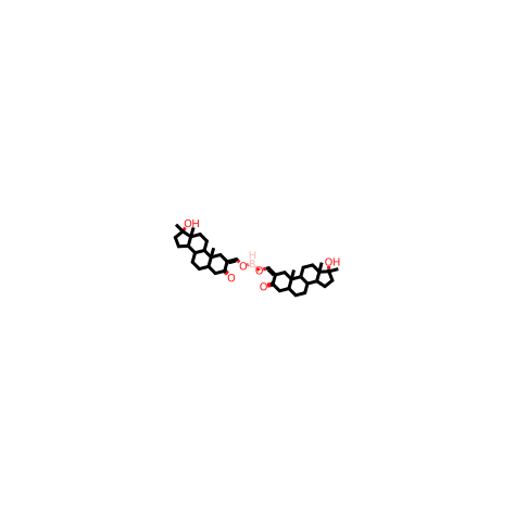 CC12C/C(=C/OBO/C=C3/CC4(C)C(CCC5C4CCC4(C)C5CCC4(C)O)CC3=O)C(=O)CC1CCC1C2CCC2(C)C1CCC2(C)O